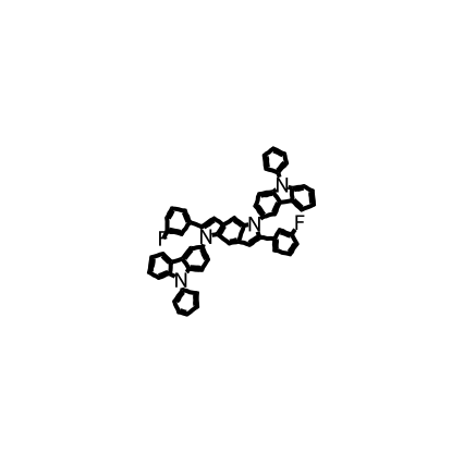 Fc1cccc(-c2cc3cc4c(cc(-c5cccc(F)c5)n4-c4ccc5c(c4)c4ccccc4n5-c4ccccc4)cc3n2-c2ccc3c(c2)c2ccccc2n3-c2ccccc2)c1